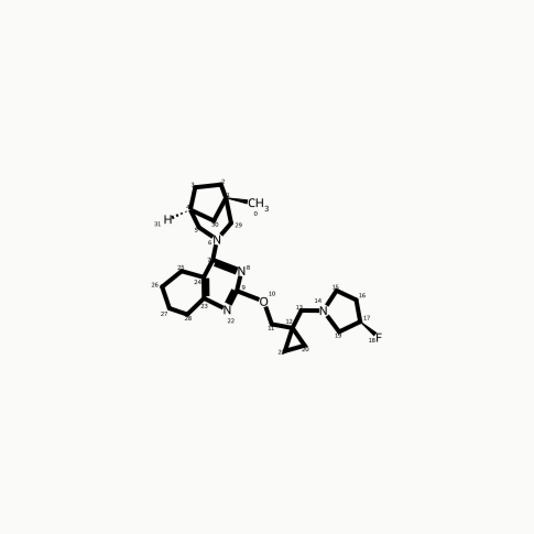 C[C@@]12CC[C@H](CN(c3nc(OCC4(CN5CC[C@@H](F)C5)CC4)nc4c3CCCC4)C1)C2